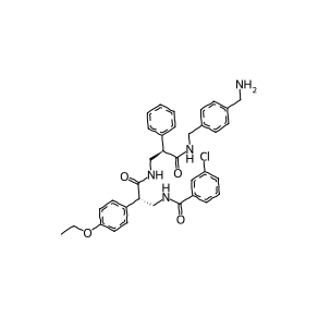 CCOc1ccc([C@@H](CNC(=O)c2cccc(Cl)c2)C(=O)NC[C@H](C(=O)NCc2ccc(CN)cc2)c2ccccc2)cc1